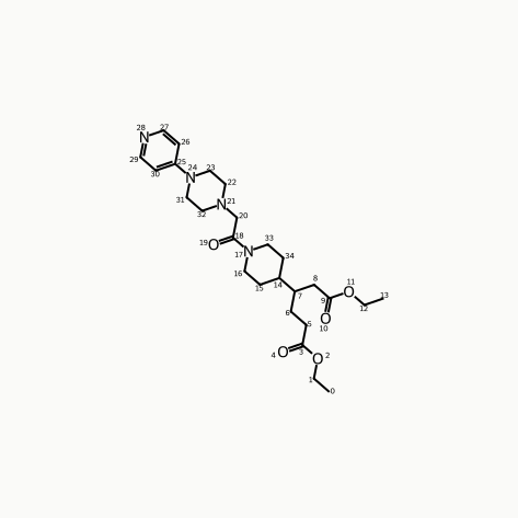 CCOC(=O)CCC(CC(=O)OCC)C1CCN(C(=O)CN2CCN(c3ccncc3)CC2)CC1